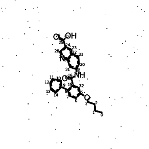 CCCCOc1ccc(-c2ccccc2)c(C(=O)Nc2ccc3cc(C(=O)O)cnc3c2)c1